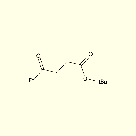 CCC(=O)CCC(=O)OC(C)(C)C